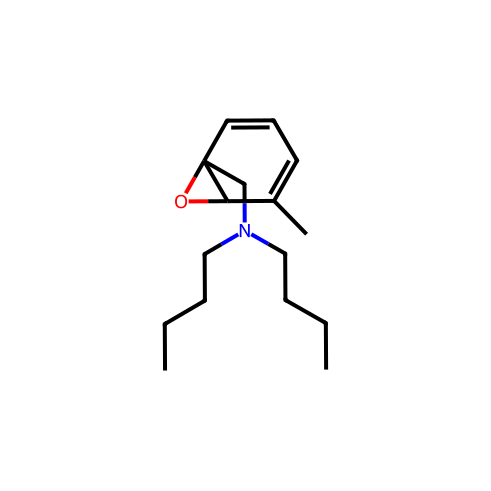 CCCCN(CCCC)CC12C=CC=C(C)C1O2